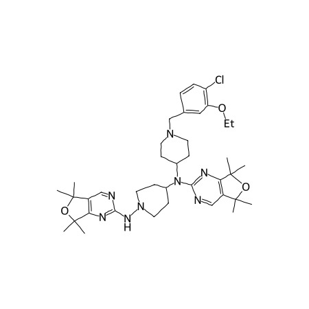 CCOc1cc(CN2CCC(N(c3ncc4c(n3)C(C)(C)OC4(C)C)C3CCN(Nc4ncc5c(n4)C(C)(C)OC5(C)C)CC3)CC2)ccc1Cl